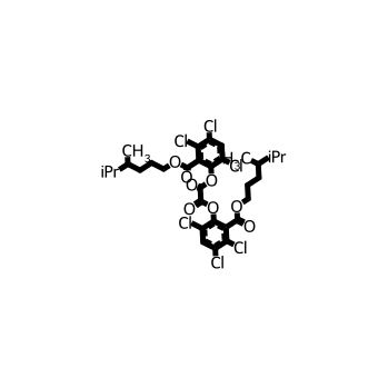 CC(C)C(C)CCCOC(=O)c1c(Cl)c(Cl)cc(Cl)c1OC(=O)C(=O)Oc1c(Cl)cc(Cl)c(Cl)c1C(=O)OCCCC(C)C(C)C